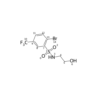 O=S(=O)(NCCO)c1cc(C(F)(F)F)ccc1Br